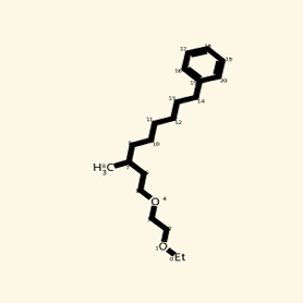 CCOCCOCCC(C)CCCCCCc1ccccc1